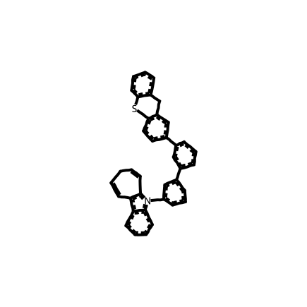 C1=Cc2c(n(-c3cccc(-c4cccc(-c5ccc6c(c5)Cc5ccccc5S6)c4)c3)c3ccccc23)C=CC1